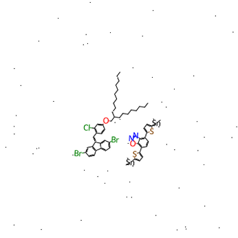 CCCCCCCCCCC(CCCCCCCC)COc1ccc(C=C2c3cc(Br)ccc3-c3ccc(Br)cc32)c(Cl)c1.[CH3][Sn]([CH3])([CH3])[c]1ccc(-c2ccc(-c3cc[c]([Sn]([CH3])([CH3])[CH3])s3)c3onnc23)s1